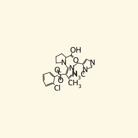 Cc1nn(Cc2cncn2C)c(N2CCCC2C(=O)O)c1S(=O)(=O)c1ccccc1Cl